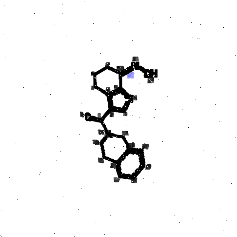 O=C(c1csc2c1CCC/C2=N/O)N1CCc2ccccc2C1